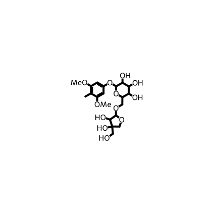 COc1cc(OC2OC(COC3OCC(O)(CO)C3O)C(O)C(O)C2O)cc(OC)c1C